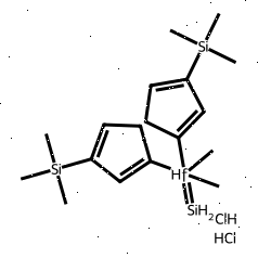 C[Si](C)(C)C1=CC[C]([Hf]([CH3])([CH3])(=[SiH2])[C]2=CC([Si](C)(C)C)=CC2)=C1.Cl.Cl